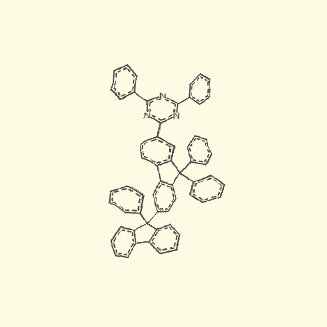 c1ccc(-c2nc(-c3ccccc3)nc(-c3ccc4c(c3)C(c3ccccc3)(c3ccccc3)c3ccc(C5(c6ccccc6)c6ccccc6-c6ccccc65)cc3-4)n2)cc1